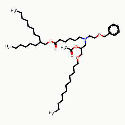 CCCCCCCCCCCCOCC(CN(CCCCCC(=O)OCC(CCCCCC)CCCCCCCC)CCOCc1ccccc1)OC(C)=O